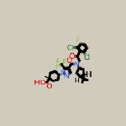 CC1(C)[C@@H]2C[C@@H](N(CC(=O)c3c(Cl)ccc(F)c3Cl)C(=O)c3cnn([C@H]4CC[C@](C)(C(=O)O)CC4)c3C(F)(F)F)C[C@@H]21